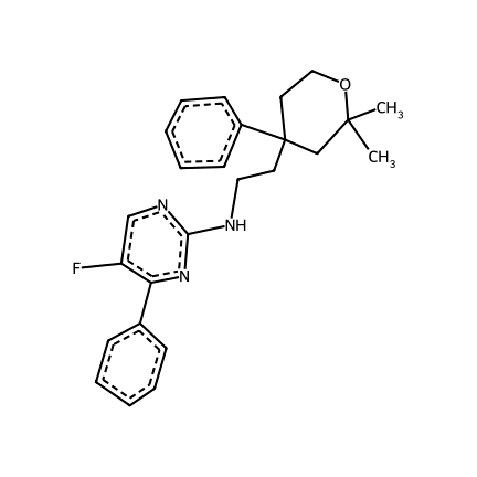 CC1(C)CC(CCNc2ncc(F)c(-c3ccccc3)n2)(c2ccccc2)CCO1